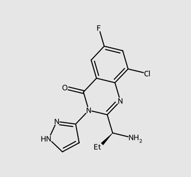 CC[C@H](N)c1nc2c(Cl)cc(F)cc2c(=O)n1-c1cc[nH]n1